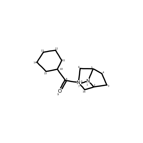 CN1C2CCC1CN(C(=O)C1CCCCC1)C2